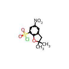 CC1(C)Cc2cc([N+](=O)[O-])cc(S(=O)(=O)Cl)c2O1